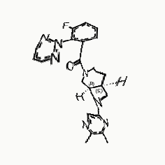 Cc1ncc(N2C[C@@H]3CCN(C(=O)c4cccc(F)c4-n4nccn4)C[C@@H]32)nc1C